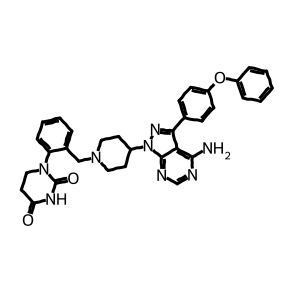 Nc1ncnc2c1c(-c1ccc(Oc3ccccc3)cc1)nn2C1CCN(Cc2ccccc2N2CCC(=O)NC2=O)CC1